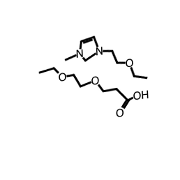 CCOCCN1C=CN(C)C1.CCOCCOCCC(=O)O